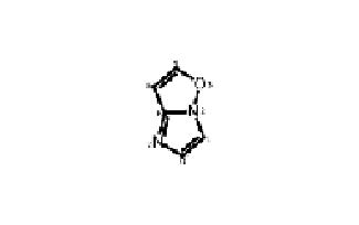 [c]1cn2o[c]cc2n1